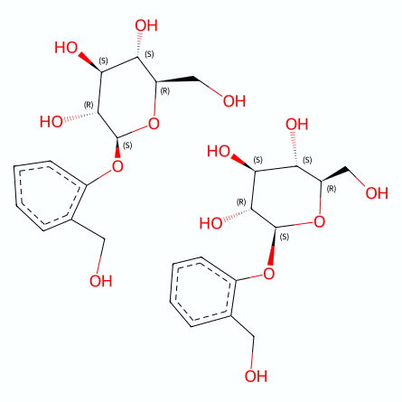 OCc1ccccc1O[C@@H]1O[C@H](CO)[C@@H](O)[C@H](O)[C@H]1O.OCc1ccccc1O[C@@H]1O[C@H](CO)[C@@H](O)[C@H](O)[C@H]1O